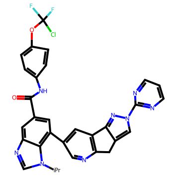 CC(C)n1cnc2cc(C(=O)Nc3ccc(OC(F)(F)Cl)cc3)cc(-c3cnc4c(c3)-c3nn(-c5ncccn5)cc3C4)c21